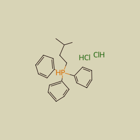 CC(C)CC[PH](c1ccccc1)(c1ccccc1)c1ccccc1.Cl.Cl